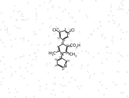 CC1=CC(c2cc(Cl)cc(Cl)c2)C(C(=O)O)=C(C)N1c1cccnc1